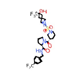 O=C(NCc1ccc(C(F)(F)F)cc1)[C@H]1CCCN1C(=O)[C@H]1CCCN(S(=O)(=O)N2CC3(C2)CC(O)(C(F)(F)F)C3)C1